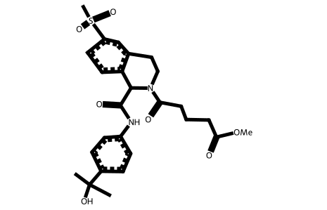 COC(=O)CCCC(=O)N1CCc2cc(S(C)(=O)=O)ccc2C1C(=O)Nc1ccc(C(C)(C)O)cc1